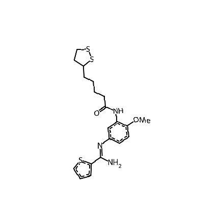 COc1ccc(/N=C(\N)c2cccs2)cc1NC(=O)CCCCC1CCSS1